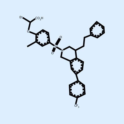 CCC(Oc1ccc(S(=O)(=O)N2Cc3cc(-c4ccc(C(F)(F)F)cc4)ccc3C(CCc3ccccc3)C2)cc1C)C(=O)O